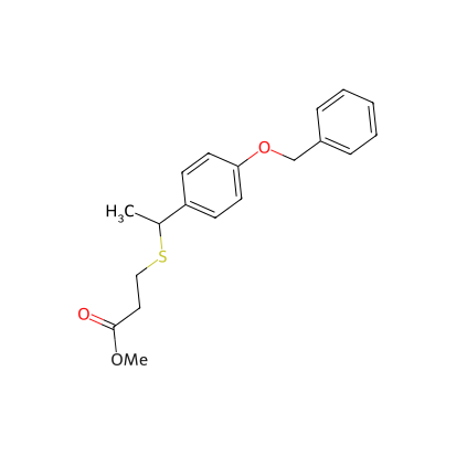 COC(=O)CCSC(C)c1ccc(OCc2ccccc2)cc1